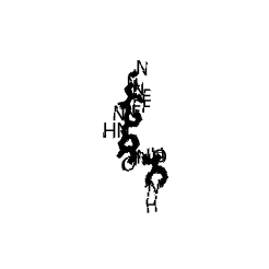 Cc1cc(Nc2cccn3c(-c4cn(CC#N)nc4C(F)(F)F)cnc23)ccc1C(=O)NCC(=O)C1=CCCNCC1